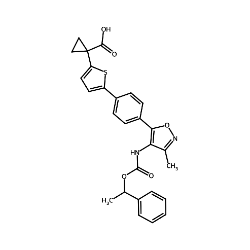 Cc1noc(-c2ccc(-c3ccc(C4(C(=O)O)CC4)s3)cc2)c1NC(=O)OC(C)c1ccccc1